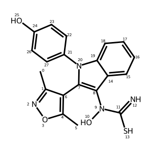 Cc1noc(C)c1-c1c(N(O)C(=N)S)c2ccccc2n1-c1ccc(O)cc1